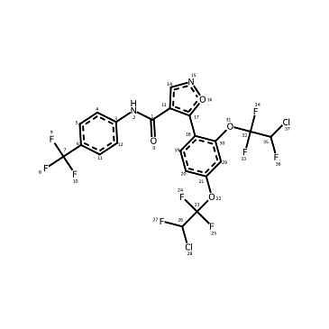 O=C(Nc1ccc(C(F)(F)F)cc1)c1cnoc1-c1ccc(OC(F)(F)C(F)Cl)cc1OC(F)(F)C(F)Cl